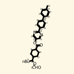 [CH2+][CH-]CCC(OC=O)C1CCC(C(=O)Oc2cnc(-c3ccc(-c4ccc(C)cc4)cc3)nc2)CC1